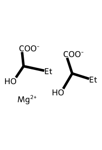 CCC(O)C(=O)[O-].CCC(O)C(=O)[O-].[Mg+2]